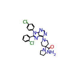 NC(=O)C1(N2CCCC2)CCN(c2ncnc3c2nc(-c2ccccc2Cl)n3-c2ccc(Cl)cc2)CC1